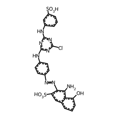 Nc1c(N=Nc2ccc(Nc3nc(Cl)nc(Nc4cccc(S(=O)(=O)O)c4)n3)cc2)c(S(=O)(=O)O)cc2cccc(O)c12